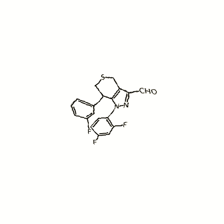 O=Cc1nn(-c2ccc(F)cc2F)c2c1CSCC2c1cccc(F)c1